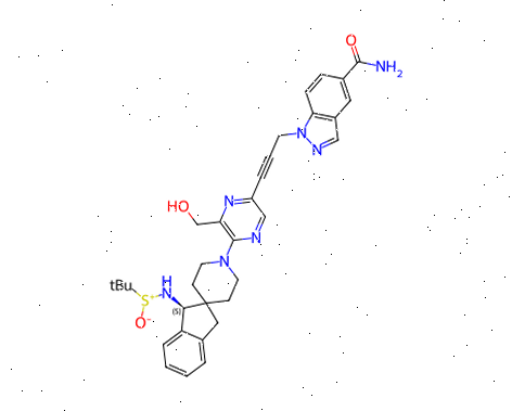 CC(C)(C)[S+]([O-])N[C@@H]1c2ccccc2CC12CCN(c1ncc(C#CCn3ncc4cc(C(N)=O)ccc43)nc1CO)CC2